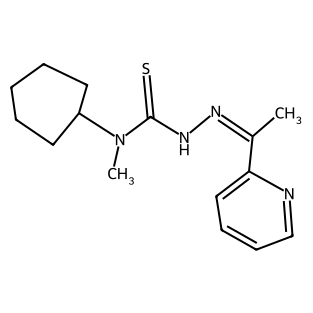 CC(=NNC(=S)N(C)C1CCCCC1)c1ccccn1